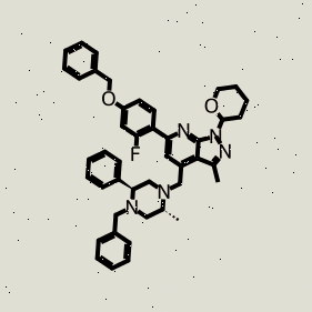 Cc1nn(C2CCCCO2)c2nc(-c3ccc(OCc4ccccc4)cc3F)cc(CN3C[C@H](c4ccccc4)N(Cc4ccccc4)C[C@H]3C)c12